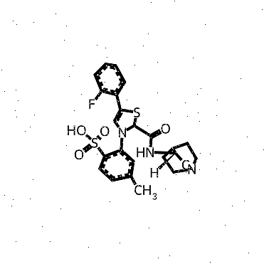 Cc1ccc(S(=O)(=O)O)c(N2C=C(c3ccccc3F)SC2C(=O)N[C@H]2CN3CCC2CC3)c1